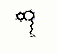 CCCCC/C1=C/C=C\Cc2ccccc2O1